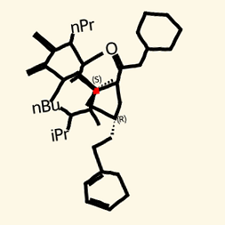 C=C(C(=C)C(CCC)C(C)C(C)C1C[C@@H](CCC2=CC=CCC2)CC1C(=O)CC1CCCCC1)C(C)C[C@H](C)C(C)C(CCCC)C(C)C